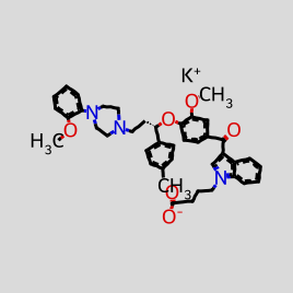 COc1cc(C(=O)c2cn(CCCC(=O)[O-])c3ccccc23)ccc1O[C@@H](CCN1CCN(c2ccccc2OC)CC1)c1ccc(C)cc1.[K+]